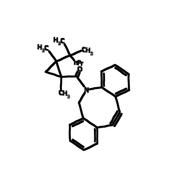 CCCC(C)(C)C1(C)CC1(C)C(=O)N1Cc2ccccc2C#Cc2ccccc21